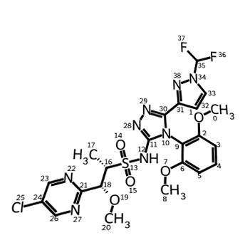 COc1cccc(OC)c1-n1c(NS(=O)(=O)[C@@H](C)[C@H](OC)c2ncc(Cl)cn2)nnc1-c1ccn(C(F)F)n1